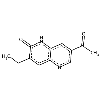 CCc1cc2ncc(C(C)=O)cc2[nH]c1=O